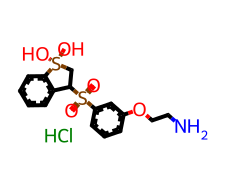 Cl.NCCOc1cccc(S(=O)(=O)C2CS(O)(O)c3ccccc32)c1